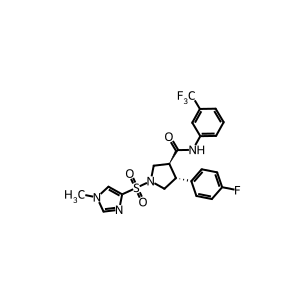 Cn1cnc(S(=O)(=O)N2C[C@@H](C(=O)Nc3cccc(C(F)(F)F)c3)[C@H](c3ccc(F)cc3)C2)c1